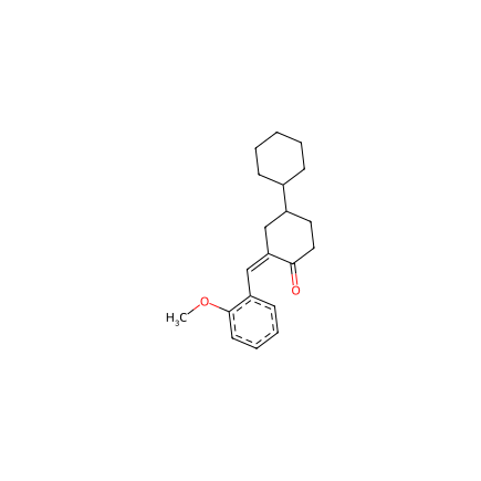 COc1ccccc1/C=C1/CC(C2CCCCC2)CCC1=O